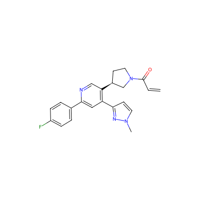 C=CC(=O)N1CC[C@H](c2cnc(-c3ccc(F)cc3)cc2-c2ccn(C)n2)C1